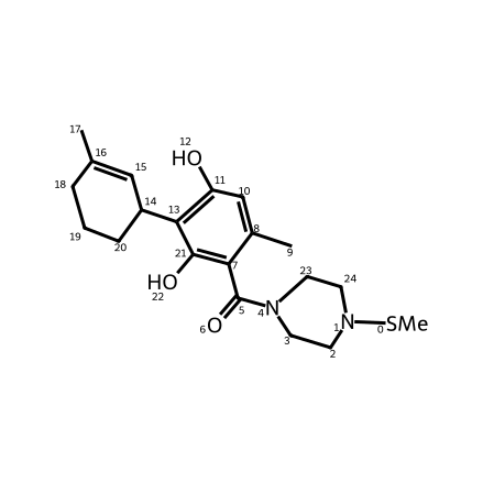 CSN1CCN(C(=O)c2c(C)cc(O)c(C3C=C(C)CCC3)c2O)CC1